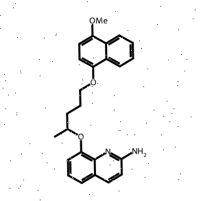 COc1ccc(OCCCC(C)Oc2cccc3ccc(N)nc23)c2ccccc12